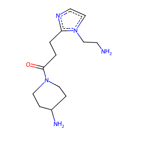 NCCn1ccnc1CCC(=O)N1CCC(N)CC1